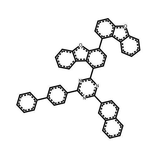 c1ccc(-c2ccc(-c3nc(-c4ccc5ccccc5c4)nc(-c4ccc(-c5cccc6oc7ccccc7c56)c5oc6ccccc6c45)n3)cc2)cc1